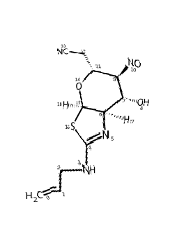 C=CCNC1=N[C@@H]2[C@@H](O)[C@H](N=O)[C@@H](CC#N)O[C@@H]2S1